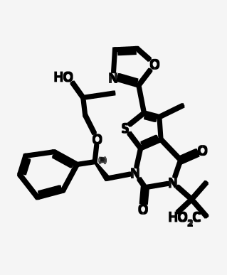 Cc1c(-c2ncco2)sc2c1c(=O)n(C(C)(C)C(=O)O)c(=O)n2C[C@H](OCC(C)O)c1ccccc1